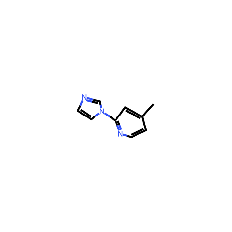 Cc1ccnc(-n2ccnc2)c1